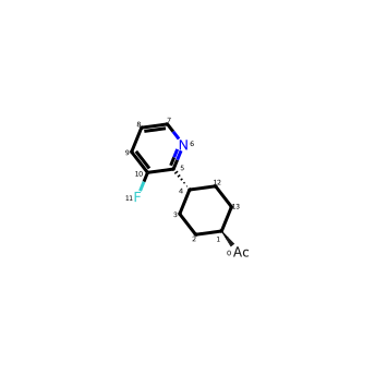 CC(=O)[C@H]1CC[C@H](c2ncccc2F)CC1